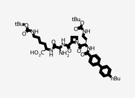 CCCCc1ccc(-c2ccc(C(=O)N[C@@H](CCNC(=O)OC(C)(C)C)C(=O)N3CCC3C(=O)N[C@@H](N)C(=O)N[C@@H](CCCCNC(=O)OC(C)(C)C)C(=O)O)cc2)cc1